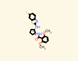 COc1cccc(OC)c1C(=O)N[C@@H]1CCC[C@@H]1Nc1nc2ccc(F)cc2s1